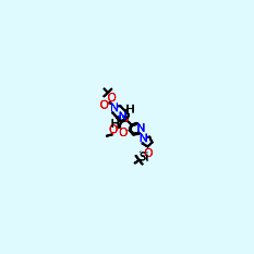 CCOC(=O)C1=C(c2ccc(N3CC[C@H](O[Si](C)(C)C(C)(C)C)C3)nc2)C[C@H]2CN(C(=O)OC(C)(C)C)C[C@@H]1N2C